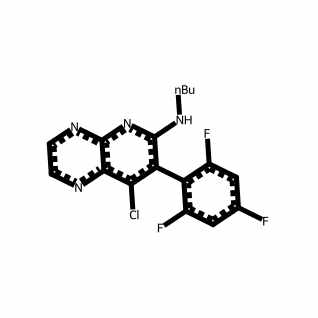 CCCCNc1nc2nccnc2c(Cl)c1-c1c(F)cc(F)cc1F